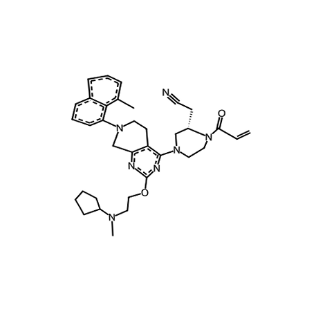 C=CC(=O)N1CCN(c2nc(OCCN(C)C3CCCC3)nc3c2CCN(c2cccc4cccc(C)c24)C3)C[C@@H]1CC#N